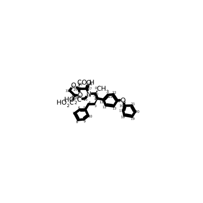 C[C@H]([C@H](CCc1ccccc1)c1ccc(Oc2ccccc2)cc1)N(CC(=O)O)C(=O)[C@]1(C(=O)O)OC[C@H](C(=O)O)O1